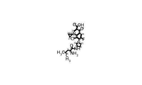 CC(C)CC(N)C(=O)NC1CCN(c2c(F)cc3c(=O)c(C(=O)O)cn(C4CC4)c3c2Cl)C1